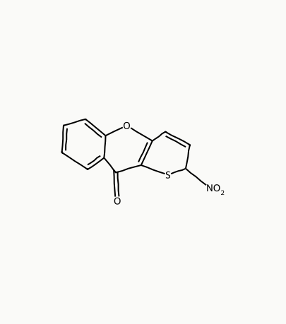 O=c1c2c(oc3ccccc13)C=CC([N+](=O)[O-])S2